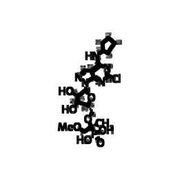 COC[C@@](C)(OC[C@H]1O[C@@H](n2ncc3c(NC4CCCC4)nc(Cl)nc32)[C@H](O)[C@@H]1O)P(=O)(O)O